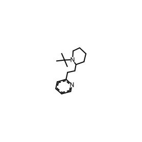 CC(C)(C)N1CCCCC1CCc1ccccn1